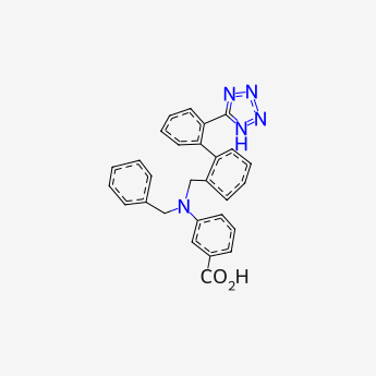 O=C(O)c1cccc(N(Cc2ccccc2)Cc2ccccc2-c2ccccc2-c2nnn[nH]2)c1